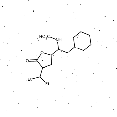 CCC(CC)C1CC(C(CC2CCCCC2)NC(=O)O)OC1=O